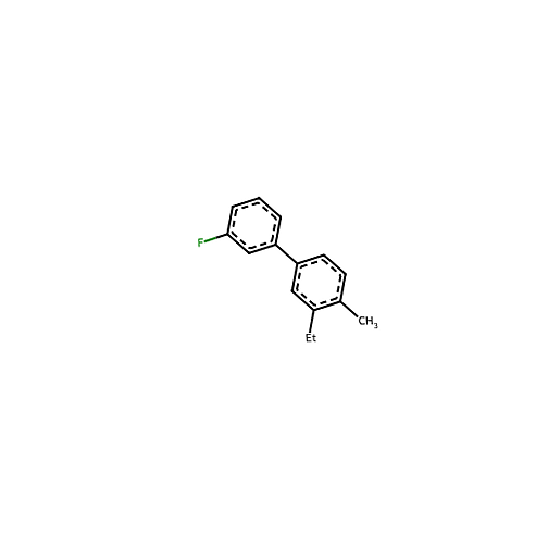 CCc1cc(-c2cccc(F)c2)ccc1C